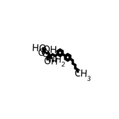 CCCCCCc1ccc(-c2cccc(CCC(N)(CO)COP(=O)(O)O)c2)cc1